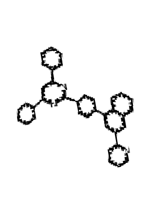 c1ccc(-c2cc(-c3ccccc3)nc(-c3ccc(-c4cc(-c5ccccn5)cc5ccccc45)cc3)n2)cc1